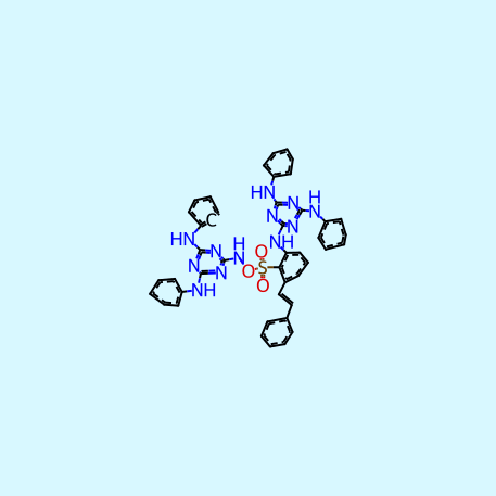 O=S(=O)(ONc1nc(Nc2ccccc2)nc(Nc2ccccc2)n1)c1c(C=Cc2ccccc2)cccc1Nc1nc(Nc2ccccc2)nc(Nc2ccccc2)n1